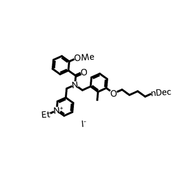 CCCCCCCCCCCCCCOc1cccc(CN(Cc2ccc[n+](CC)c2)C(=O)c2ccccc2OC)c1C.[I-]